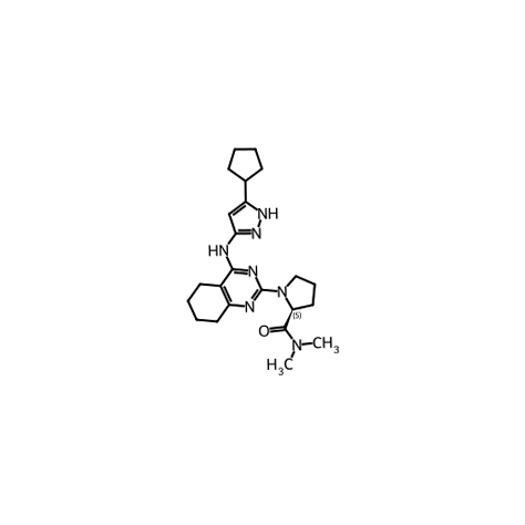 CN(C)C(=O)[C@@H]1CCCN1c1nc2c(c(Nc3cc(C4CCCC4)[nH]n3)n1)CCCC2